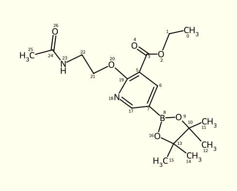 CCOC(=O)c1cc(B2OC(C)(C)C(C)(C)O2)cnc1OCCNC(C)=O